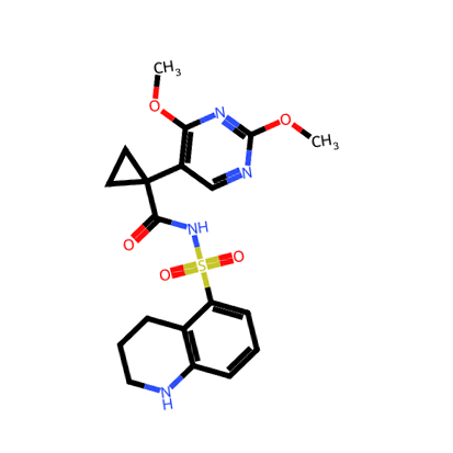 COc1ncc(C2(C(=O)NS(=O)(=O)c3cccc4c3CCCN4)CC2)c(OC)n1